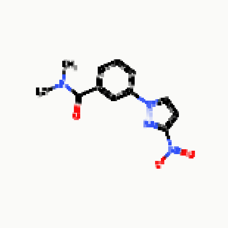 CN(C)C(=O)c1cccc(-n2ccc([N+](=O)[O-])n2)c1